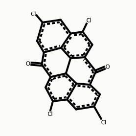 O=c1c2cc(Cl)c3cc(Cl)cc4c(=O)c5cc(Cl)c6cc(Cl)cc1c6c5-c2c34